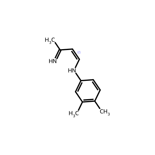 CC(=N)/C=C\Nc1ccc(C)c(C)c1